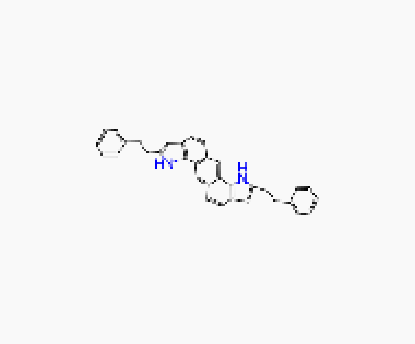 c1ccc(CCc2cc3ccc4cc5c(ccc6cc(CCc7ccccc7)[nH]c65)cc4c3[nH]2)cc1